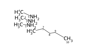 CN.CN.CN.C[CH]CCC